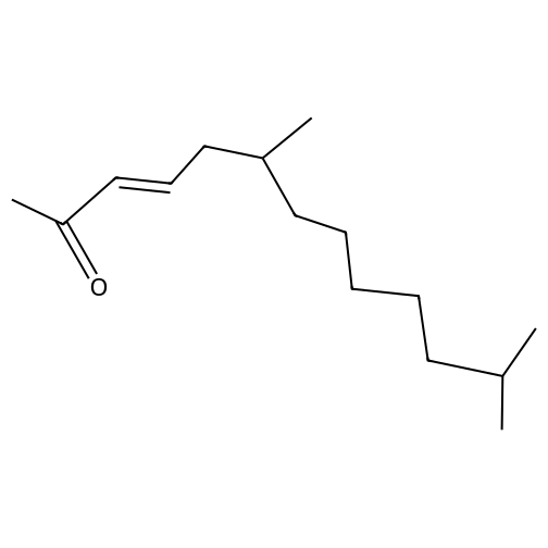 CC(=O)/C=C/CC(C)CCCCCC(C)C